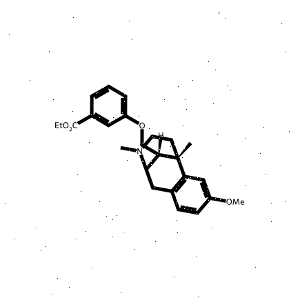 CCOC(=O)c1cccc(OC[C@H]2C3Cc4ccc(OC)cc4[C@@]2(C)CCN3C)c1